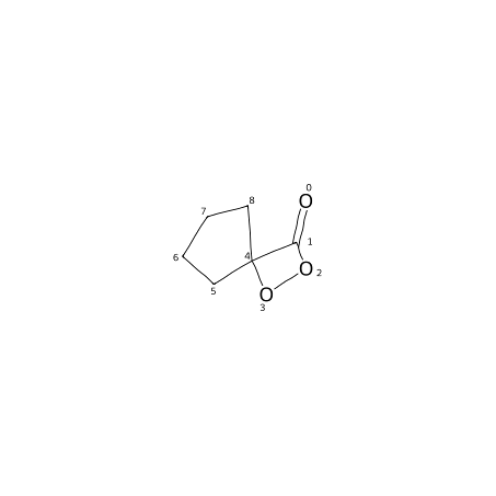 O=C1OOC12CCCC2